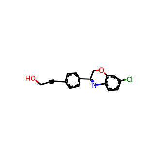 OCC#Cc1ccc(C2=Nc3ccc(Cl)cc3OC2)cc1